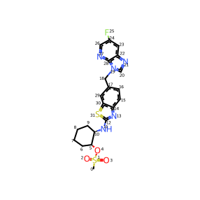 CS(=O)(=O)O[C@H]1CCCC[C@H]1Nc1nc2ccc(Cn3cnc4cc(F)cnc43)cc2s1